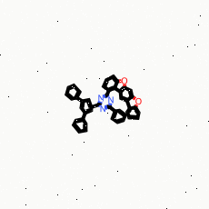 c1ccc(-c2cc(-c3ccccc3)cc(-c3nc(-c4ccccc4)nc(-c4cccc5oc6cc7oc8ccccc8c7cc6c45)n3)c2)cc1